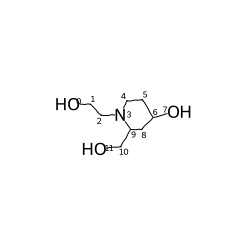 OCCN1CCC(O)CC1CO